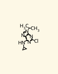 CC(C)n1cnc2c(NC3CC3)nc(Cl)nc21